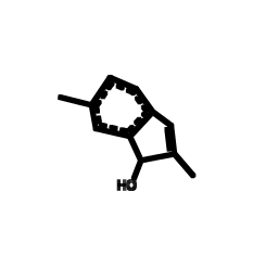 CC1=Cc2ccc(C)cc2C1O